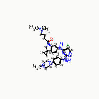 CN(C)CC=CC(=O)N1CC2(CC2)c2ccc(Nc3nc(Nc4ccc(N5CCN(C)CC5)cc4)ncc3F)cc21